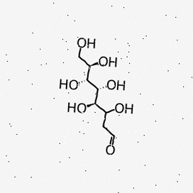 O=CCC(O)[C@@H](O)[C@@H](O)[C@H](O)[C@H](O)CO